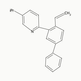 C=Cc1ccc(-c2ccccc2)cc1-c1ccc(C(C)C)cn1